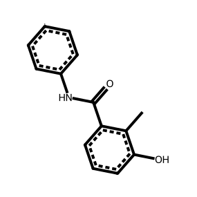 Cc1c(O)cccc1C(=O)Nc1cc[c]cc1